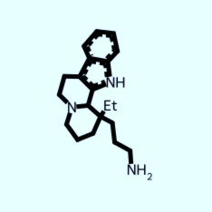 CCC1(CCCN)CCCN2CCc3c([nH]c4ccccc34)C21